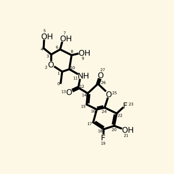 CC1OC(CO)C(O)C(O)C1NC(=O)c1cc2cc(F)c(O)c(F)c2oc1=O